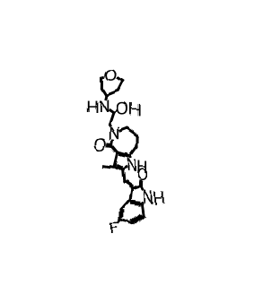 Cc1c(/C=C2\C(=O)Nc3ccc(F)cc32)[nH]c2c1C(=O)N(C[C@H](O)NC1CCOCC1)CCC2